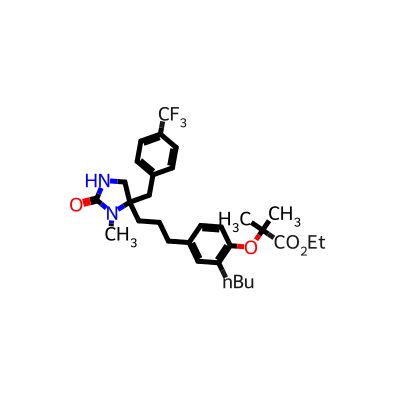 CCCCc1cc(CCCC2(Cc3ccc(C(F)(F)F)cc3)CNC(=O)N2C)ccc1OC(C)(C)C(=O)OCC